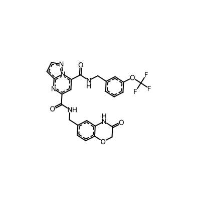 O=C1COc2ccc(CNC(=O)c3cc(C(=O)NCc4cccc(OC(F)(F)F)c4)n4nccc4n3)cc2N1